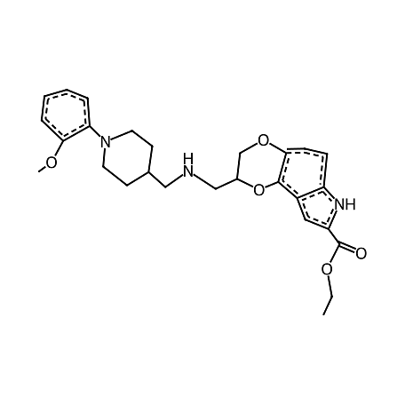 CCOC(=O)c1cc2c3c(ccc2[nH]1)OCC(CNCC1CCN(c2ccccc2OC)CC1)O3